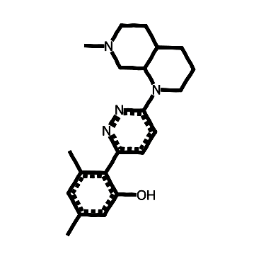 Cc1cc(C)c(-c2ccc(N3CCCC4CCN(C)CC43)nn2)c(O)c1